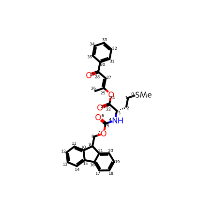 CSCC[C@H](NC(=O)OCC1c2ccccc2-c2ccccc21)C(=O)O/C(C)=C/C(=O)c1ccccc1